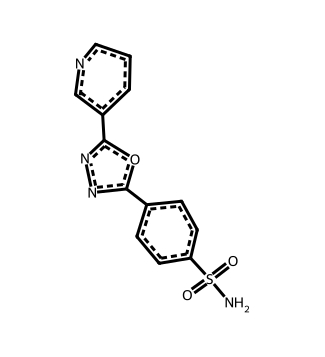 NS(=O)(=O)c1ccc(-c2nnc(-c3cccnc3)o2)cc1